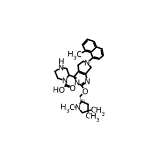 Cc1cccc2cccc(N3CCc4c(nc(OC[C@@H]5CC(C)(C)CN5C)nc4C4CNCCN4C(=O)O)C3)c12